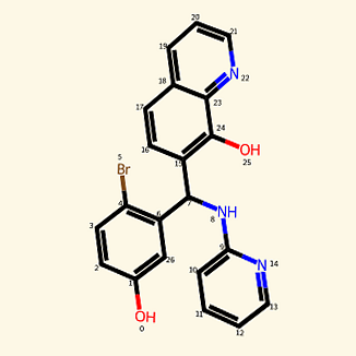 Oc1ccc(Br)c(C(Nc2ccccn2)c2ccc3cccnc3c2O)c1